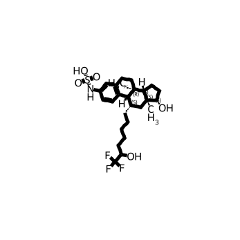 C=C[C@@]12CCc3cc(NS(=O)(=O)O)ccc3[C@H]1[C@@H](CCCCCC(O)C(F)(F)F)C[C@@]1(C)[C@H]2CC[C@@H]1O